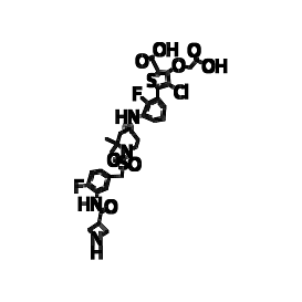 CC1(C)C[C@H](Nc2cccc(-c3sc(C(=O)O)c(OCC(=O)O)c3Cl)c2F)CCN1S(=O)(=O)Cc1ccc(F)c(NC(=O)C2CNC2)c1